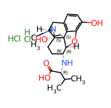 CC(C)[C@@H](N[C@@H]1CC[C@@]2(O)[C@H]3Cc4ccc(O)c5c4[C@@]2(CCN3C)[C@H]1O5)C(=O)O.Cl.Cl